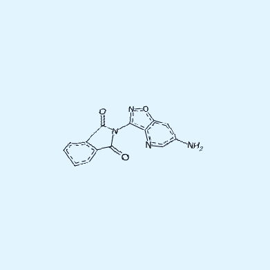 Nc1cnc2c(N3C(=O)c4ccccc4C3=O)noc2c1